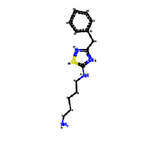 NCCCCCNc1nc(Cc2ccccc2)ns1